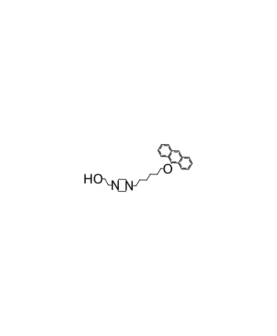 OCCN1CCN(CCCCCCOc2c3ccccc3cc3ccccc23)CC1